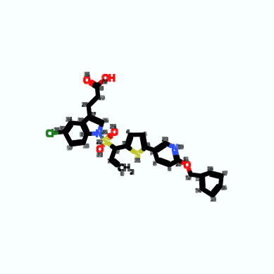 C=CC(c1ccc(-c2ccc(OCc3ccccc3)nc2)s1)S(=O)(=O)n1cc(CCC(=O)O)c2cc(Cl)ccc21